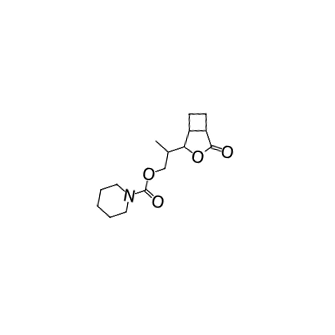 CC(COC(=O)N1CCCCC1)C1OC(=O)C2CCC21